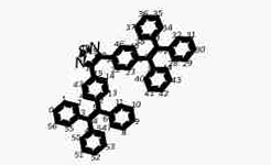 c1ccc(C(=C(c2ccccc2)c2ccc(-c3nsnc3-c3ccc(C(=C(c4ccccc4)c4ccccc4)c4ccccc4)cc3)cc2)c2ccccc2)cc1